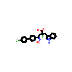 O=C(O)C(F)(CC(=NO)c1ccc(-c2ccc(Cl)cc2)cc1)Cc1c[nH]c2ccccc12